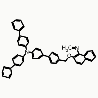 C=Nc1c(OCc2ccc(-c3ccc(N(c4ccc(-c5ccccc5)cc4)c4ccc(-c5ccccc5)cc4)cc3)cc2)ccc2ccccc12